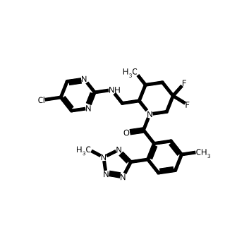 Cc1ccc(-c2nnn(C)n2)c(C(=O)N2CC(F)(F)CC(C)C2CNc2ncc(Cl)cn2)c1